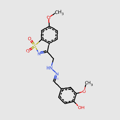 COc1ccc2c(c1)S(=O)(=O)N=C2CN/N=C/c1ccc(O)c(OC)c1